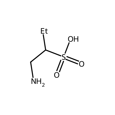 [CH2]CC(CN)S(=O)(=O)O